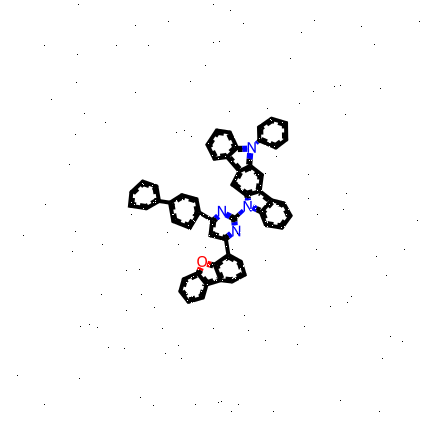 c1ccc(-c2ccc(-c3cc(-c4cccc5c4oc4ccccc45)nc(-n4c5ccccc5c5cc6c(cc54)c4ccccc4n6-c4ccccc4)n3)cc2)cc1